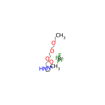 CCCOCCOCCOC(=O)Cc1[nH]cc[n+]1C.F[B-](F)(F)F